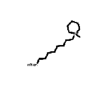 CCCCCCCCCCCCCCCCC[N+]1(C)CCCCC1